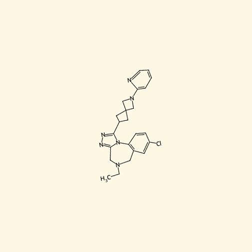 CCN1Cc2cc(Cl)ccc2-n2c(nnc2C2CC3(C2)CN(c2ccccn2)C3)C1